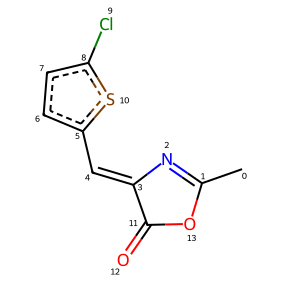 CC1=NC(=Cc2ccc(Cl)s2)C(=O)O1